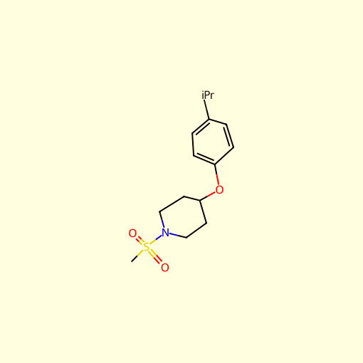 CC(C)c1ccc(OC2CCN(S(C)(=O)=O)CC2)cc1